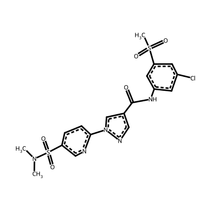 CN(C)S(=O)(=O)c1ccc(-n2cc(C(=O)Nc3cc(Cl)cc(S(C)(=O)=O)c3)cn2)nc1